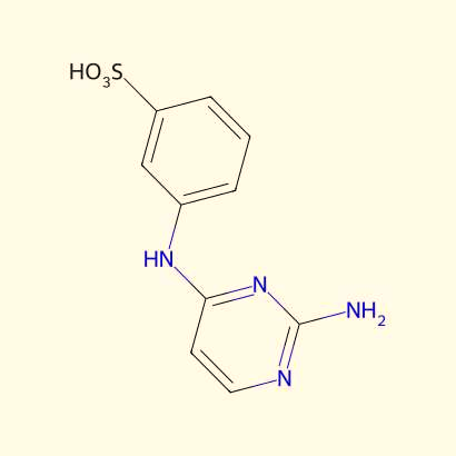 Nc1nccc(Nc2cccc(S(=O)(=O)O)c2)n1